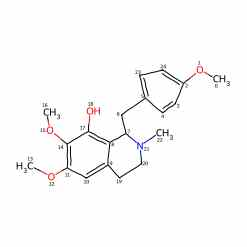 COc1ccc(CC2c3c(cc(OC)c(OC)c3O)CCN2C)cc1